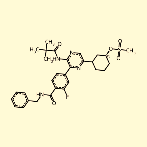 CC(C)(C)C(=O)Nc1ncc(C2CCC[C@H](OS(C)(=O)=O)C2)nc1-c1ccc(C(=O)NCc2ccccc2)c(F)c1